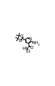 CCNC(=O)c1cc(B2OC(C)(C)C(C)(C)O2)cnc1N